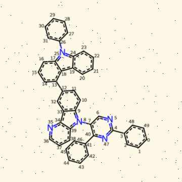 c1ccc(-c2ncc(-n3c4ccc(-c5cccc6c5c5ccccc5n6-c5ccccc5)cc4c4ncccc43)c(-c3ccccc3)n2)cc1